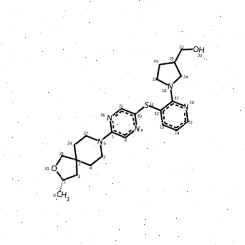 C[C@H]1CC2(CCN(c3cnc(Sc4cccnc4N4CCC(CO)C4)cn3)CC2)CO1